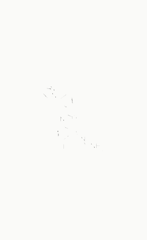 CC1(c2cc(NC(=O)c3cccc(-n4cccn4)c3)ccc2F)CCSC(N)=N1